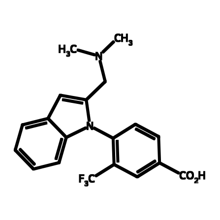 CN(C)Cc1cc2ccccc2n1-c1ccc(C(=O)O)cc1C(F)(F)F